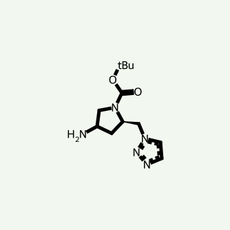 CC(C)(C)OC(=O)N1CC(N)C[C@@H]1Cn1ccnn1